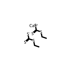 CCSC(=S)[S-].CCSC(=S)[S-].[Ca+2]